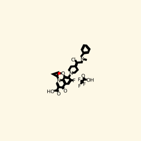 COc1c(N2CCC(=C(Cl)CN(C)Cc3ccccc3)CC2)c(F)cc2c(=O)c(C(=O)O)cn(C3CC3)c12.O=C(O)C(F)(F)F